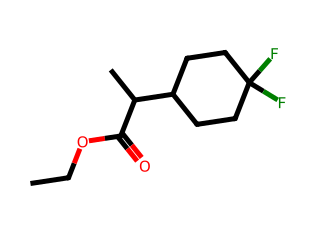 CCOC(=O)C(C)C1CCC(F)(F)CC1